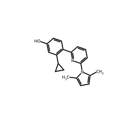 Cc1ccc(C)n1-c1cccc(-c2ccc(O)cc2C2CC2)n1